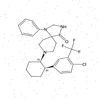 O=C1NCN(c2ccccc2)C12CCN([C@@H]1CCCC[C@@H]1c1ccc(Cl)c(C(F)(F)F)c1)CC2